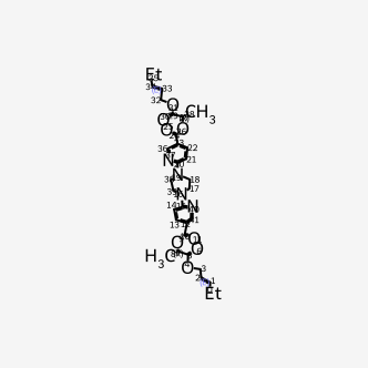 CC/C=C/COC(=O)[C@@H](C)OC(=O)c1ccc(N2CCN(c3ccc(C(=O)O[C@H](C)C(=O)OC/C=C/CC)cn3)CC2)nc1